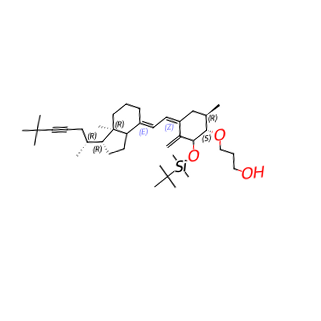 C=C1/C(=C\C=C2/CCC[C@@]3(C)C2CC[C@@H]3[C@H](C)CC#CC(C)(C)C)C[C@@H](C)[C@H](OCCCO)C1O[Si](C)(C)C(C)(C)C